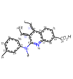 C/C=c1\c(=C/CC)c(N(C)c2cccc(C)c2)nc2cc(C(=O)O)ccc12